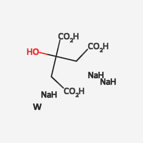 O=C(O)CC(O)(CC(=O)O)C(=O)O.[NaH].[NaH].[NaH].[W]